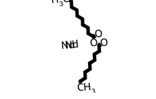 CCCCCCCCCC(=O)OC(=O)CCCCCCCCC.[Nd].[Nd]